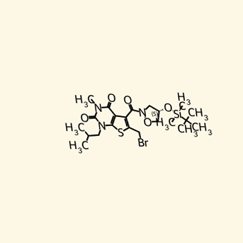 CC(C)Cn1c(=O)n(C)c(=O)c2c(C(=O)N3C[C@H](O[Si](C)(C)C(C)(C)C)CO3)c(CBr)sc21